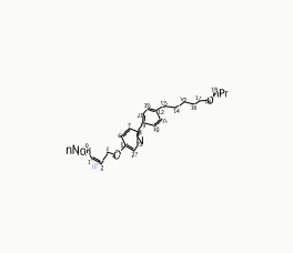 CCCCCCCCC/C=C\COc1ccc(-c2ccc(CCCCCOCCC)cc2)nc1